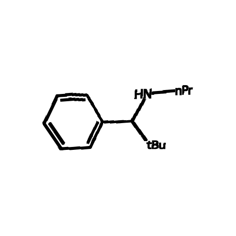 CCCNC(c1ccccc1)C(C)(C)C